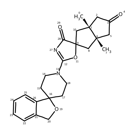 C[C@@]12CC(=O)C[C@]1(C)CC1(C2)OC(N2CCC3(CC2)OCc2ccccc23)=NC1=O